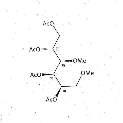 COC[C@@H](OC(C)=O)[C@@H](OC(C)=O)[C@H](OC)[C@@H](COC(C)=O)OC(C)=O